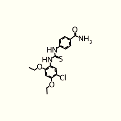 CCOc1cc(OCC)c(NC(=S)Nc2ccc(C(N)=O)cc2)cc1Cl